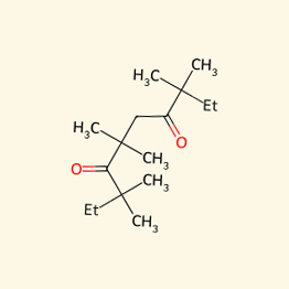 CCC(C)(C)C(=O)CC(C)(C)C(=O)C(C)(C)CC